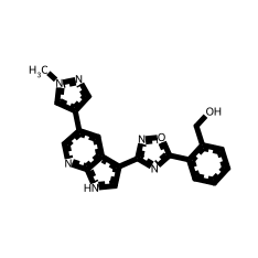 Cn1cc(-c2cnc3[nH]cc(-c4noc(-c5ccccc5CO)n4)c3c2)cn1